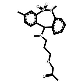 CC(=O)COCCCN(C)C1c2ccccc2N(C)S(=O)(=O)c2cc(C)ccc21